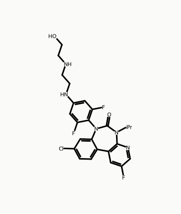 CC(C)N1C(=O)N(c2c(F)cc(NCCNCCO)cc2F)c2cc(Cl)ccc2-c2cc(F)cnc21